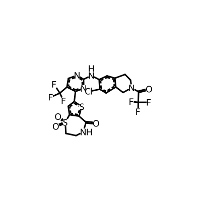 O=C1NCCS(=O)(=O)c2cc(-c3nc(Nc4cc5c(cc4Cl)CN(C(=O)C(F)(F)F)CC5)ncc3C(F)(F)F)sc21